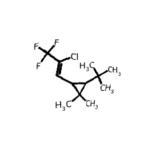 CC(C)(C)C1C(/C=C(\Cl)C(F)(F)F)C1(C)C